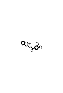 COc1ccc(C(=O)CCC(Cc2ccccc2)N(C)C)cc1OC